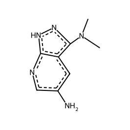 CN(C)c1n[nH]c2ncc(N)cc12